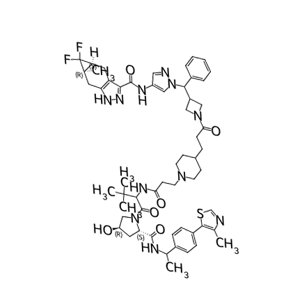 Cc1ncsc1-c1ccc(C(C)NC(=O)[C@@H]2C[C@@H](O)CN2C(=O)C(NC(=O)CCN2CCC(CCC(=O)N3CC(C(c4ccccc4)n4cc(NC(=O)c5n[nH]c6c5C[C@@H]5C(F)(F)[C@]5(C)C6)cn4)C3)CC2)C(C)(C)C)cc1